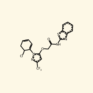 O=C(COc1cc(C(F)(F)F)nn1C1=CC=CCC1Cl)Nc1nc2ccccc2s1